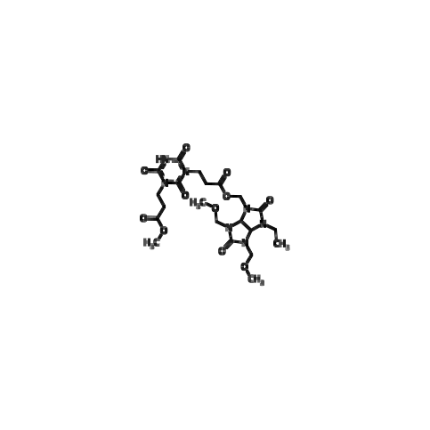 CCN1C(=O)N(COC(=O)CCn2c(=O)[nH]c(=O)n(CCC(=O)OC)c2=O)C2C1N(COC)C(=O)N2COC